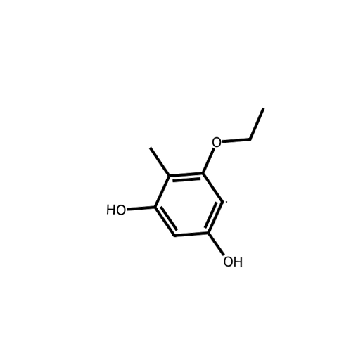 CCOc1[c]c(O)cc(O)c1C